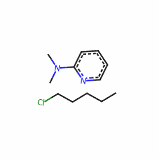 CCCCCCl.CN(C)c1ccccn1